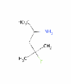 CC(C)(F)CC(N)C(=O)O